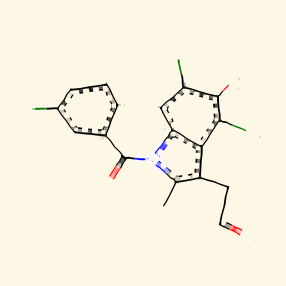 Cc1c(CC=O)c2c(F)c(O)c(F)cc2n1C(=O)c1cccc(Cl)c1